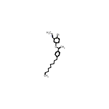 C=CCCCCCCCc1ccc(C(=C)Oc2ccc(CC)c(/C=N/C)c2)cc1